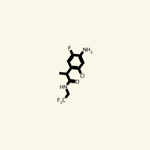 CC(C(=O)NCC(F)(F)F)c1cc(F)c(N)cc1Cl